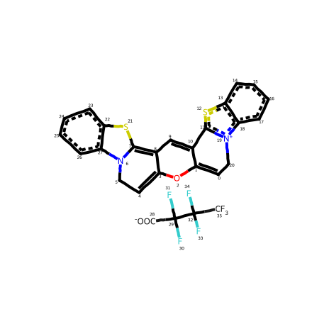 C1=C2OC3=CCN4C(=C3C=C2c2sc3ccccc3[n+]2C1)Sc1ccccc14.O=C([O-])C(F)(F)C(F)(F)C(F)(F)F